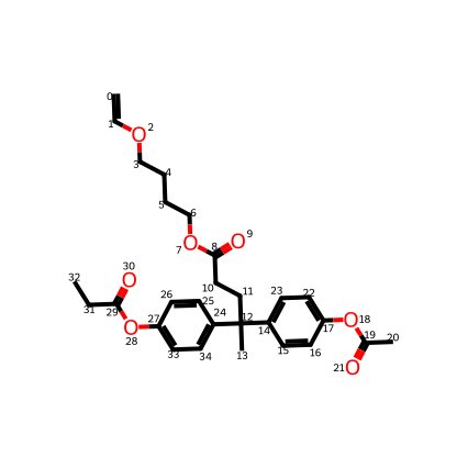 C=COCCCCOC(=O)CCC(C)(c1ccc(OC(C)=O)cc1)c1ccc(OC(=O)CC)cc1